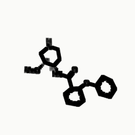 CO[C@@H]1CNCC[C@@H]1NC(=O)c1ccccc1Oc1ccccc1